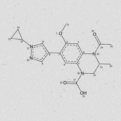 COc1cc2c(cc1-c1cnn(C3CC3)c1)N(C(=O)O)CC(C)N2C(C)=O